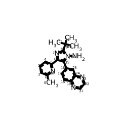 Cc1cccc(-c2nc(C(C)(C)C)n(N)c2-c2ccc3nccnc3c2)n1